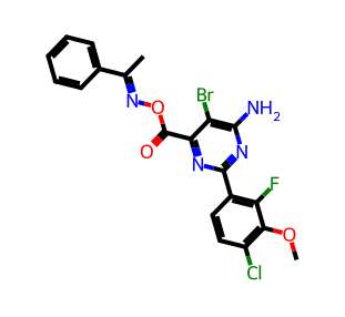 COc1c(Cl)ccc(-c2nc(N)c(Br)c(C(=O)O/N=C(\C)c3ccccc3)n2)c1F